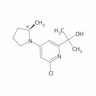 C[C@@H]1CCCN1c1cc(Cl)nc(C(C)(C)O)c1